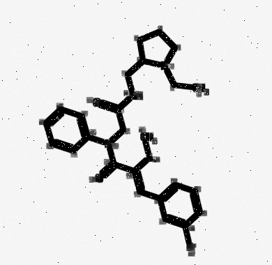 CCN1CCCC1CNC(=O)CN(C(=O)/C(=C/c1cccc(Br)c1)SC)c1ccccc1